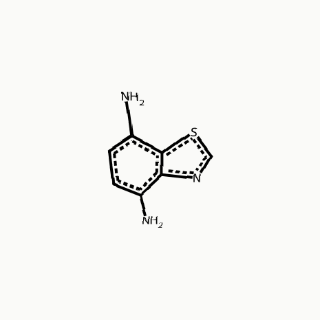 Nc1ccc(N)c2scnc12